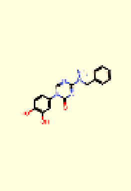 NN(Cc1ccccc1)c1ncn(-c2ccc(O)c(O)c2)c(=O)n1